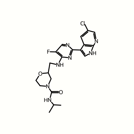 CC(C)NC(=O)N1CCOC(CNc2nc(-c3c[nH]c4ncc(Cl)cc34)ncc2F)C1